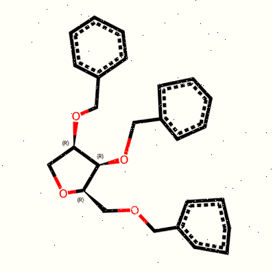 c1ccc(COC[C@H]2OC[C@@H](OCc3ccccc3)[C@H]2OCc2ccccc2)cc1